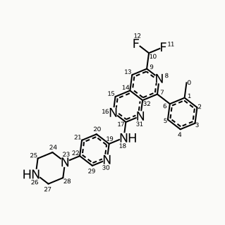 Cc1ccccc1-c1nc(C(F)F)cc2cnc(Nc3ccc(N4CCNCC4)cn3)nc12